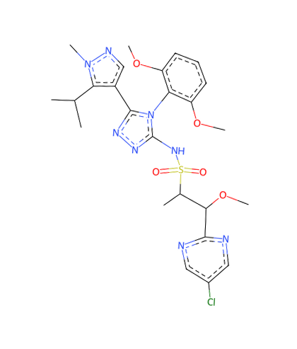 COc1cccc(OC)c1-n1c(NS(=O)(=O)C(C)C(OC)c2ncc(Cl)cn2)nnc1-c1cnn(C)c1C(C)C